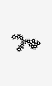 CC1(C)c2cccc3c2-c2c1ccc1c4ccccc4n(c21)-c1cccc(-c2ccc(-c4nc(-c5ccc6ccc(-c7ccccc7)cc6c5)nc(-c5ccc6c(c5)sc5ccccc56)n4)cc2)c1-3